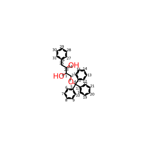 OC(COC(c1ccccc1)(c1ccccc1)c1ccccc1)C(O)Cc1ccccc1